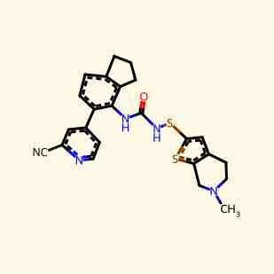 CN1CCc2cc(SNC(=O)Nc3c(-c4ccnc(C#N)c4)ccc4c3CCC4)sc2C1